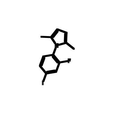 Cc1ccc(C)n1-c1ccc(I)cc1F